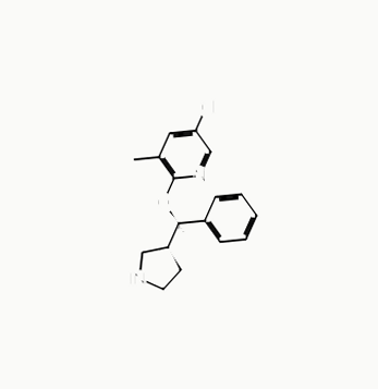 Cc1cc(Cl)cnc1O[C@@H](c1ccccc1)[C@H]1CCNC1